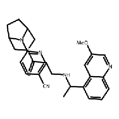 COc1cnc2cccc(C(C)NCCC(=O)N3CC4CCC(C3)N4c3ccc(C#N)cn3)c2c1